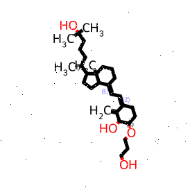 C=C1/C(=C\C=C2/CCCC3(C)C2CCC3[C@H](C)CCCC(C)(C)O)CC[C@@H](OCCCO)C1O